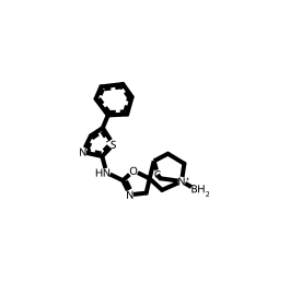 B[N+]12CCC(CC1)C1(CN=C(Nc3ncc(-c4ccccc4)s3)O1)C2